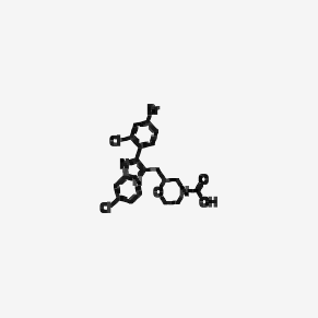 O=C(O)N1CCOC(Cc2c(-c3ccc(Br)cc3Cl)nc3cc(Cl)ccn23)C1